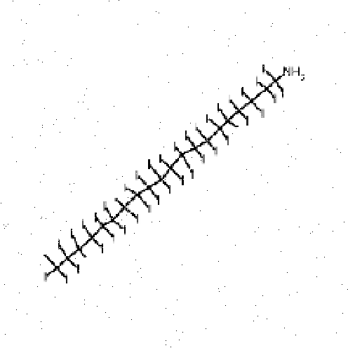 NC(I)(I)C(I)(I)C(I)(I)C(I)(I)C(I)(I)C(I)(I)C(I)(I)C(I)(I)C(I)(I)C(I)(I)C(I)(I)C(I)(I)C(I)(I)C(I)(I)C(I)(I)C(I)(I)C(I)(I)C(I)(I)C(I)(I)C(I)(I)I